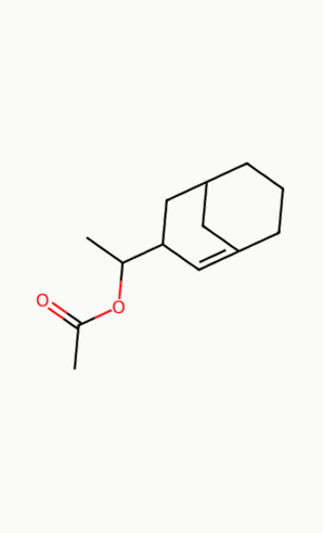 CC(=O)OC(C)C1C=C2CCCC(C2)C1